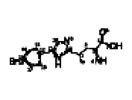 CC(CC(=N)C(=O)O)c1ncc(-c2ccc(Br)cc2)[nH]1